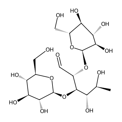 C[C@H](O)[C@H](O)[C@@H](O[C@@H]1O[C@H](CO)[C@@H](O)[C@H](O)[C@H]1O)[C@H](C=O)O[C@H]1O[C@H](CO)[C@@H](O)[C@H](O)[C@H]1O